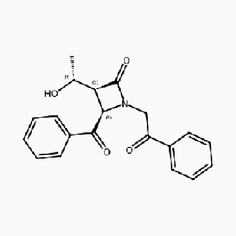 C[C@@H](O)[C@H]1C(=O)N(CC(=O)c2ccccc2)[C@H]1C(=O)c1ccccc1